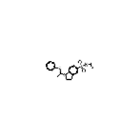 CC(Sc1ccccc1)N1CCc2cc(S(N)(=O)=O)ccc21